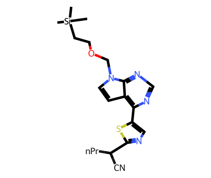 CCCC(C#N)c1ncc(-c2ncnc3c2ccn3COCC[Si](C)(C)C)s1